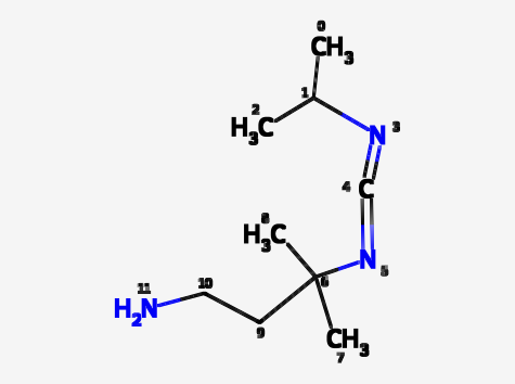 CC(C)N=C=NC(C)(C)CCN